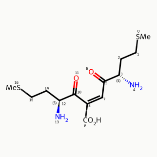 CSCC[C@H](N)C(=O)C=C(C(=O)O)C(=O)[C@@H](N)CCSC